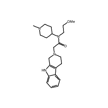 COCCN(C(=O)CN1CCc2c([nH]c3ccccc23)C1)C1CCN(C)CC1